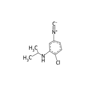 [C-]#[N+]c1ccc(Cl)c(NC(C)C)c1